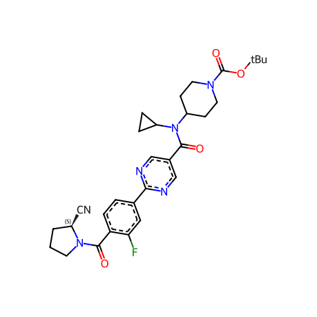 CC(C)(C)OC(=O)N1CCC(N(C(=O)c2cnc(-c3ccc(C(=O)N4CCC[C@H]4C#N)c(F)c3)nc2)C2CC2)CC1